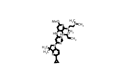 C=CC(=O)Nc1c(Nc2cc(N3CC(C)(C)c4nc(C5CC5)ccc43)ncn2)cc(OC)nc1N(C)CCN(C)C